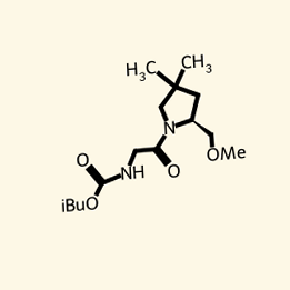 COC[C@@H]1CC(C)(C)CN1C(=O)CNC(=O)OCC(C)C